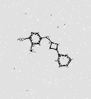 Cc1ccc(OC2CC(c3ccccc3)C2)cc1[N+](=O)[O-]